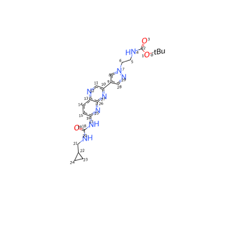 CC(C)(C)OC(=O)NCCn1cc(-c2cnc3ccc(NC(=O)NCC4CC4)nc3n2)cn1